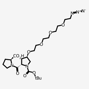 CC(C)(C)OC(=O)N1C[C@H](OCCOCCOCCOCCN=[N+]=[N-])C[C@H]1C(=O)N1CCC[C@H]1C(=O)O